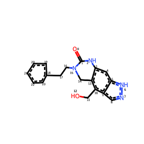 O=C1Nc2cc3[nH]ncc3c(CO)c2CN1CCc1ccccc1